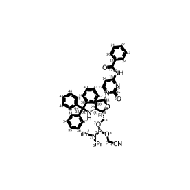 CC(C)N(C(C)C)P(OCC#N)OC[C@H]1O[C@@H](n2ccc(NC(=O)c3ccccc3)nc2=O)C[C@H]1NC(c1ccccc1)(c1ccccc1)c1ccccc1